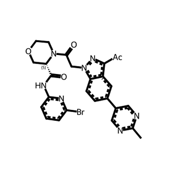 CC(=O)c1nn(CC(=O)N2CCOC[C@H]2C(=O)Nc2cccc(Br)n2)c2ccc(-c3cnc(C)nc3)cc12